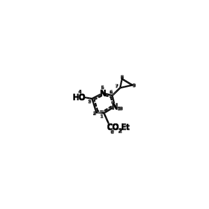 CCOC(=O)c1cc(O)nc(C2CC2)n1